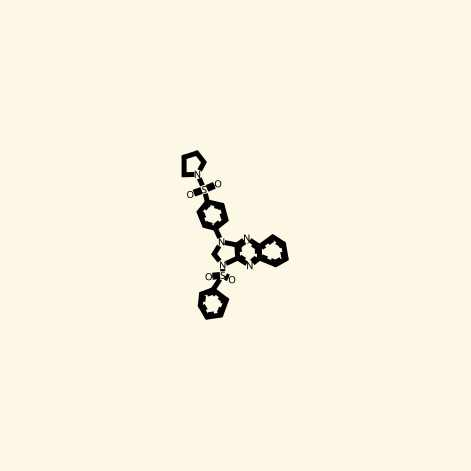 O=S(=O)(c1ccc(N2CN(S(=O)(=O)c3ccccc3)c3nc4ccccc4nc32)cc1)N1CCCC1